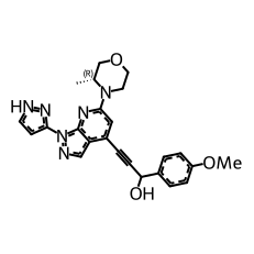 COc1ccc(C(O)C#Cc2cc(N3CCOC[C@H]3C)nc3c2cnn3-c2cc[nH]n2)cc1